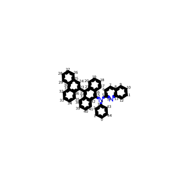 c1ccc(N(c2ccc3ccccc3n2)c2c3ccccc3c(-c3cc4ccccc4c4ccccc34)c3ccccc23)cc1